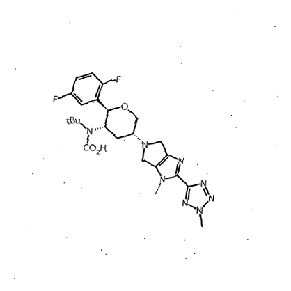 Cn1nnc(-c2nc3c(n2C)CN([C@H]2CO[C@H](c4cc(F)ccc4F)[C@@H](N(C(=O)O)C(C)(C)C)C2)C3)n1